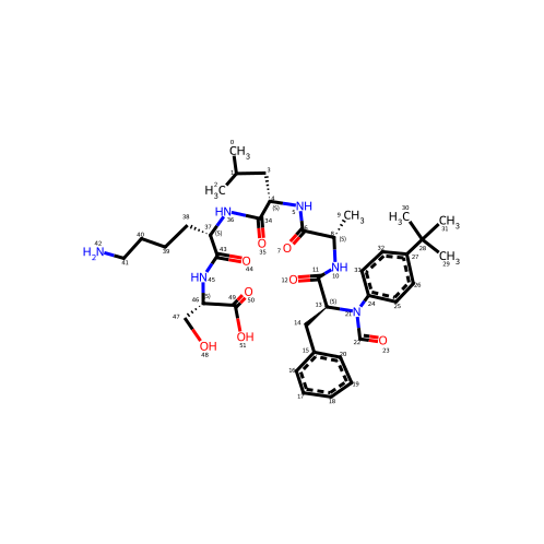 CC(C)C[C@H](NC(=O)[C@H](C)NC(=O)[C@H](Cc1ccccc1)N(C=O)c1ccc(C(C)(C)C)cc1)C(=O)N[C@@H](CCCCN)C(=O)N[C@@H](CO)C(=O)O